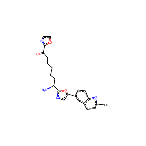 Cc1ccc2cc(-c3cnc([C@@H](N)CCCCCC(=O)c4ncco4)o3)ccc2n1